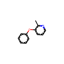 Cc1ncccc1Oc1ccccc1